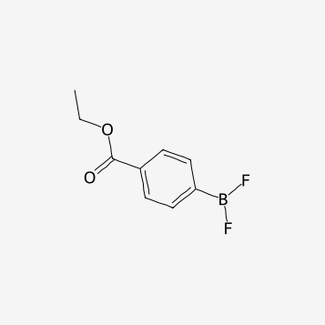 CCOC(=O)c1ccc(B(F)F)cc1